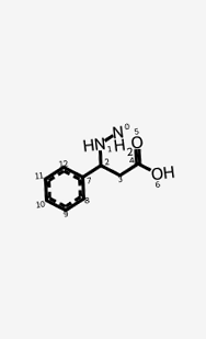 NNC(CC(=O)O)c1ccccc1